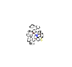 CC(C)(C)c1ccc2c(c1)C1(c3cc(C(C)(C)C)ccc3-2)c2ccccc2-c2c(N(c3ccccc3-c3ccccc3-c3ccccc3-c3ccccc3)c3cccc4sc5ccccc5c34)cccc21